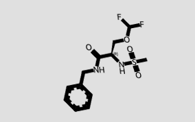 CS(=O)(=O)N[C@H](COC(F)F)C(=O)NCc1ccccc1